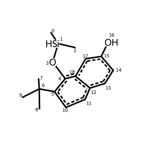 C[SiH](C)Oc1c(C(C)(C)C)ccc2ccc(O)cc12